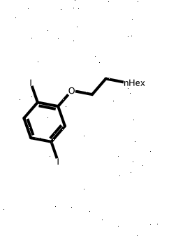 CCCCCCCCOc1cc(I)ccc1I